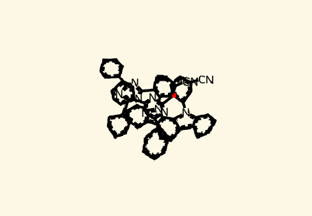 N#Cc1c#cc(-c2nc(-c3ccccc3)nc(-c3ccccc3)n2)c(-n2c3ccccc3c3ccc4c5ccccc5n(-c5cc(C#N)ccc5-c5nc(-c6ccccc6)nc(-c6ccccc6)n5)c4c32)c1